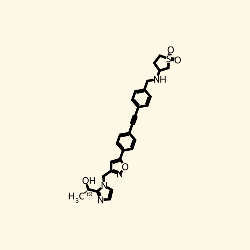 C[C@H](O)c1nccn1Cc1cc(-c2ccc(C#Cc3ccc(CNC4CCS(=O)(=O)C4)cc3)cc2)on1